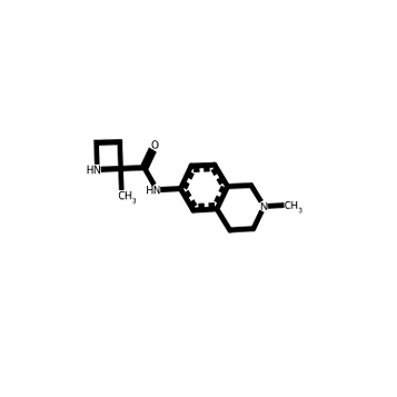 CN1CCc2cc(NC(=O)C3(C)CCN3)ccc2C1